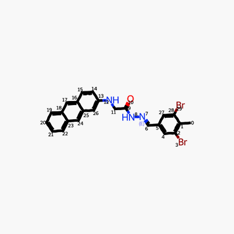 Cc1c(Br)cc(/C=N/NC(=O)CNc2ccc3cc4ccccc4cc3c2)cc1Br